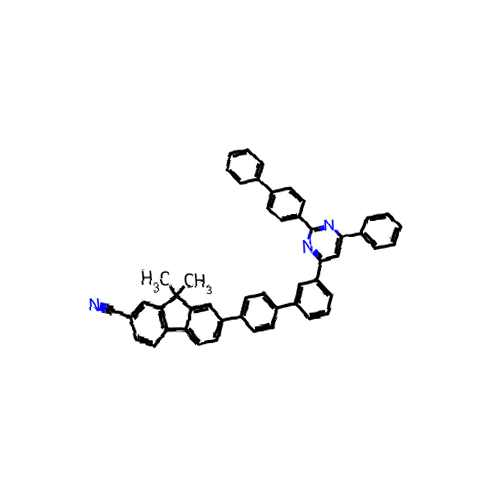 CC1(C)c2cc(C#N)ccc2-c2ccc(-c3ccc(-c4cccc(-c5cc(-c6ccccc6)nc(-c6ccc(-c7ccccc7)cc6)n5)c4)cc3)cc21